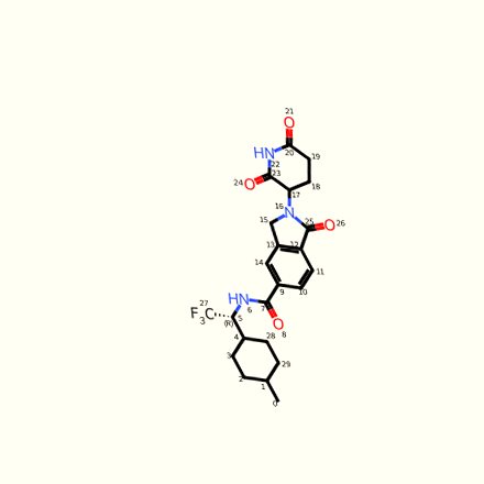 CC1CCC([C@@H](NC(=O)c2ccc3c(c2)CN(C2CCC(=O)NC2=O)C3=O)C(F)(F)F)CC1